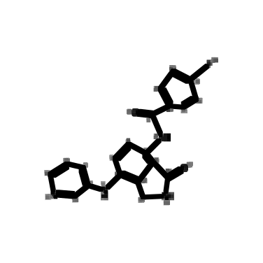 O=C(Nc1ccc(Nc2cccnc2)c2c1C(=O)NC2)c1ccc(F)cc1